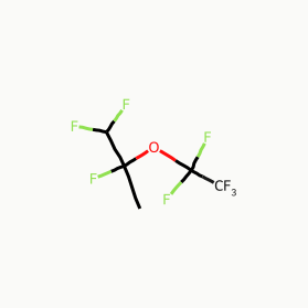 CC(F)(OC(F)(F)C(F)(F)F)C(F)F